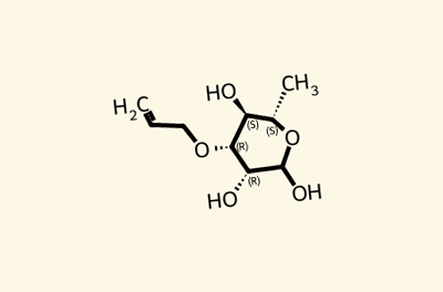 C=CCO[C@@H]1[C@@H](O)[C@H](C)OC(O)[C@@H]1O